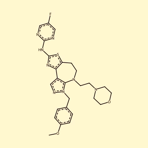 COc1ccc(Cn2ncc3c2N(CCN2CCOCC2)CCc2sc(Nc4ncc(F)cn4)nc2-3)cc1